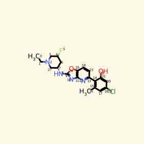 CCN1C[C@@H](F)C[C@H](Nc2nc3nc(-c4c(C)cc(Cl)cc4O)ccc3o2)C1